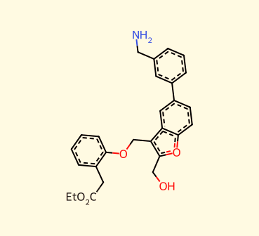 CCOC(=O)Cc1ccccc1OCc1c(CO)oc2ccc(-c3cccc(CN)c3)cc12